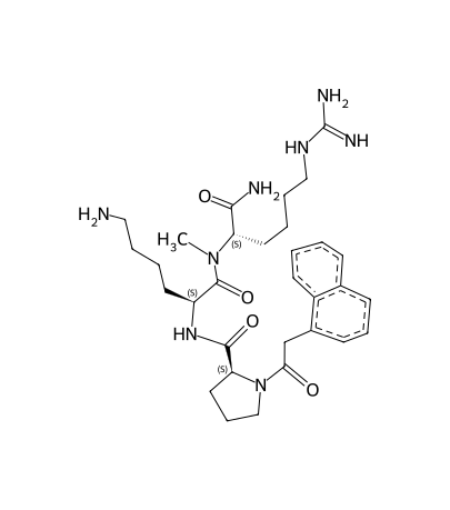 CN(C(=O)[C@H](CCCCN)NC(=O)[C@@H]1CCCN1C(=O)Cc1cccc2ccccc12)[C@@H](CCCCNC(=N)N)C(N)=O